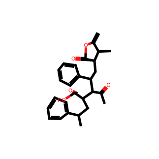 C=C1OC(=O)C(CC(c2ccccc2)C(C(C)=O)C(CC(C)c2ccccc2)C(=O)O)C1C